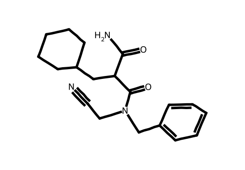 N#CCN(Cc1ccccc1)C(=O)C(CC1CCCCC1)C(N)=O